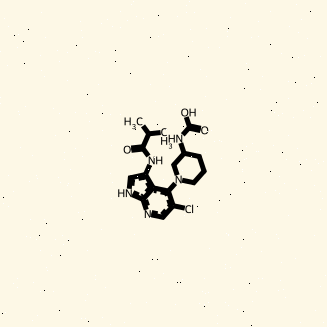 CC(C)C(=O)Nc1c[nH]c2ncc(Cl)c(N3CCCC(NC(=O)O)C3)c12